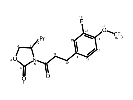 CC(C)C1COC(=O)N1C(=O)CCc1ccc(OC(F)(F)F)c(F)c1